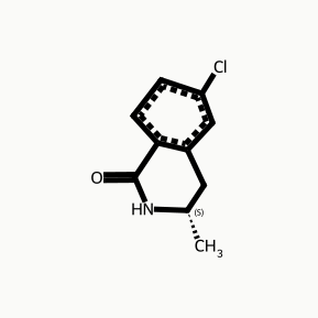 C[C@H]1Cc2cc(Cl)ccc2C(=O)N1